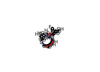 CO[C@H]1/C=C/O[C@@]2(C)Oc3c(C)c(O)c4c(O)c(c(/C=N/N(C)C5CCN(c6nc7c(cc6F)c(=O)c(C(=O)O)cn7-c6ccc(F)cc6F)C5)c(O)c4c3C2=O)NC(=O)/C(C)=C\C=C\[C@H](C)[C@H](O)[C@@H](C)[C@@H](O)[C@@H](C)[C@H](OC(C)=O)[C@@H]1C